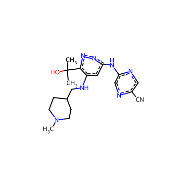 CN1CCC(CNc2cc(Nc3cnc(C#N)cn3)nnc2C(C)(C)O)CC1